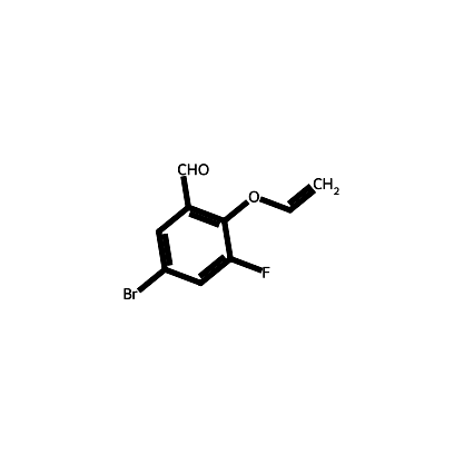 C=COc1c(F)cc(Br)cc1C=O